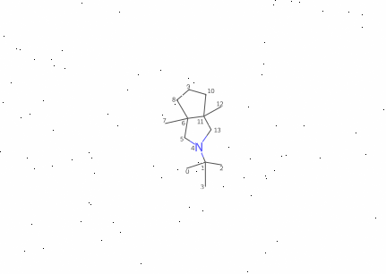 CC(C)(C)N1CC2(C)CCCC2(C)C1